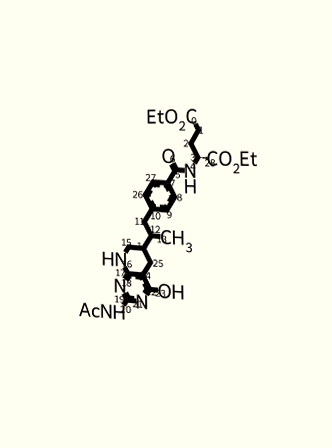 CCOC(=O)CC[C@@H](NC(=O)c1ccc(CC(C)C2CNc3nc(NC(C)=O)nc(O)c3C2)cc1)C(=O)OCC